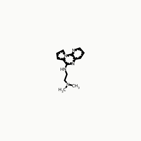 CN(C)CCNc1nc2cccnc2n2cccc12